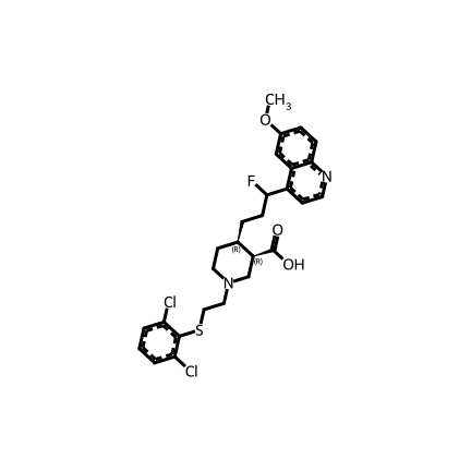 COc1ccc2nccc(C(F)CC[C@@H]3CCN(CCSc4c(Cl)cccc4Cl)C[C@@H]3C(=O)O)c2c1